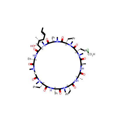 C/C=C/C[C@@H](C)[C@@H](O)[C@H]1C(=O)N[C@@H](CC)C(=O)N(C)CC(=O)N(C)[C@@H](CC(C)C)C(=O)N[C@@H](C(C)C)C(=O)N(C)[C@@H](CC(C)C)C(=O)N[C@@H](C)C(=O)N[C@H](C)C(=O)N(C)[C@@H](CC(C)C)C(=O)N(C)[C@@H](CC(C)C)C(=O)N(C)[C@@H](C(C)C)C(=O)N1C.O=C(O)Cl